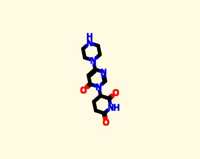 O=C1CCC(n2cnc(N3CCNCC3)cc2=O)C(=O)N1